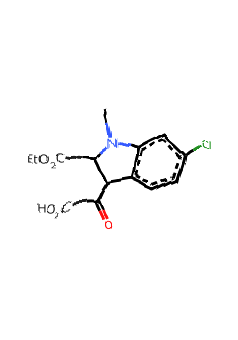 CCOC(=O)C1C(C(=O)C(=O)O)c2ccc(Cl)cc2N1C